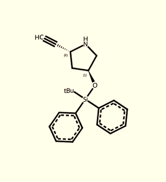 C#C[C@H]1C[C@H](O[Si](c2ccccc2)(c2ccccc2)C(C)(C)C)CN1